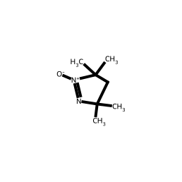 CC1(C)CC(C)(C)[N+]([O-])=N1